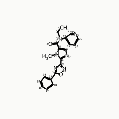 CCN(C(=O)c1cnc(-c2noc(-c3ccccc3)n2)n1C)c1cccnc1